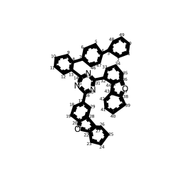 c1ccc(-c2ccc(-c3ccccc3-c3nc(-c4ccc5oc6ccccc6c5c4)nc(-c4cccc5oc6ccccc6c45)n3)cc2)cc1